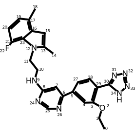 CCOc1cc(-c2cc(NCCn3c(C)cc4c(C)ccc(F)c43)ncn2)ccc1-c1nnn[nH]1